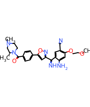 COCCOc1cc(N)c(C(=N)c2cc(-c3ccc(C(=O)N4CCN(C)C[C@@H]4C)cc3)on2)cc1C#N